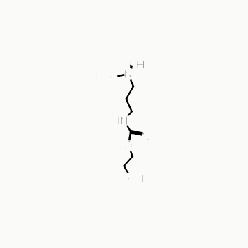 CCCOC(=O)NCCCN(C)C